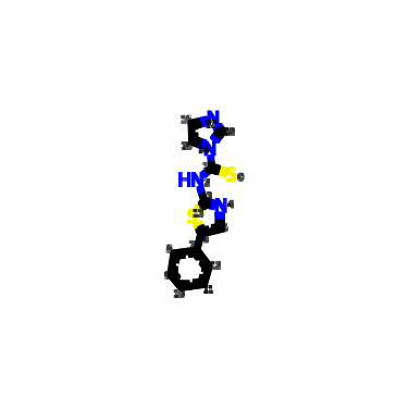 S=C(Nc1ncc(-c2ccccc2)s1)n1ccnc1